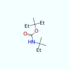 CCC(C)(C)NC(=O)OC(C)(CC)CC